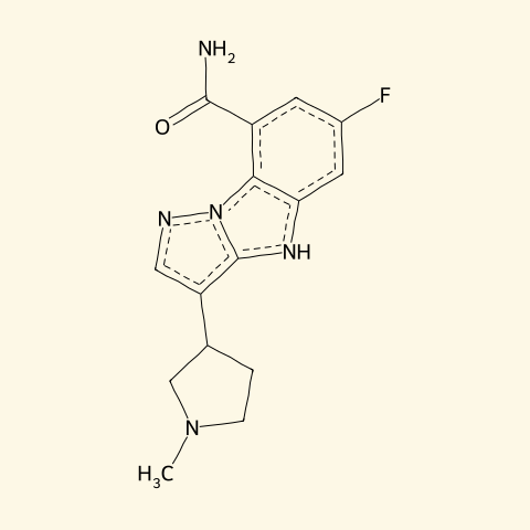 CN1CCC(c2cnn3c2[nH]c2cc(F)cc(C(N)=O)c23)C1